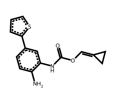 Nc1ccc(-c2cccs2)cc1NC(=O)OC=C1CC1